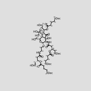 CCCCCCCCCCCCCC(=O)O[C@H](CCCCCCCCCCC)CC(=O)NCCO[C@@H]1O[C@H](CO)[C@@H](OP(=O)(O)O)[C@@](O)(C(=O)C[C@@H](CCCCCCCCCCC)OC(=O)CCCCCCCCCCCCC)[C@H]1NC(=O)C[C@@H](CCCCCCCCCCC)OC(=O)CCCCCCCCCCCCC